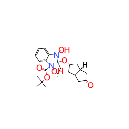 [CH2]CC1(O[C@H]2CC3CC(=O)C[C@H]3C2)N(O)c2ccccc2[N+]1(O)C(=O)OC(C)(C)C